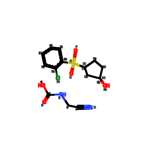 N#CCNC(=O)O.O=S(=O)(c1ccccc1Cl)[C@H]1CC[C@@H](O)C1